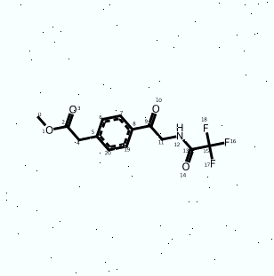 COC(=O)Cc1ccc(C(=O)CNC(=O)C(F)(F)F)cc1